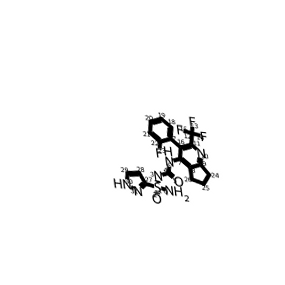 NS(=O)(=NC(=O)Nc1c2c(nc(C(F)(F)F)c1-c1ccccc1F)CCC2)c1cc[nH]n1